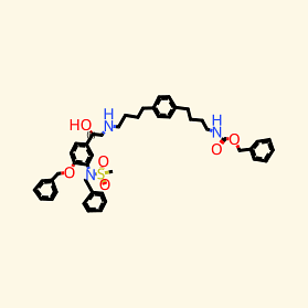 CS(=O)(=O)N(Cc1ccccc1)c1cc([C@@H](O)CNCCCCc2ccc(CCCCNC(=O)OCc3ccccc3)cc2)ccc1OCc1ccccc1